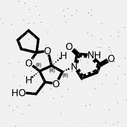 O=c1ccn([C@@H]2OC(CO)[C@H]3OC4(CCCC4)O[C@H]32)c(=O)[nH]1